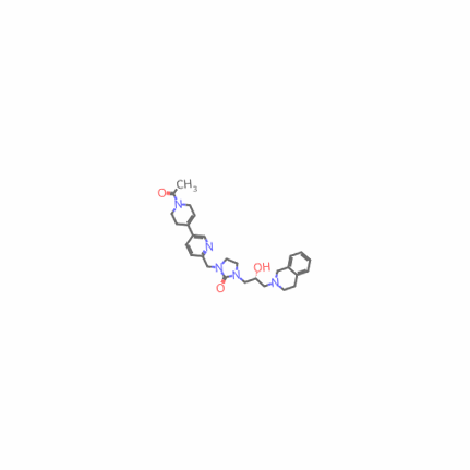 CC(=O)N1CC=C(c2ccc(CN3CCN(C[C@H](O)CN4CCc5ccccc5C4)C3=O)nc2)CC1